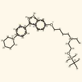 CCN(CCCCOc1ccc2c(-c3ccc(N4CCCCC4)cc3)nsc2c1)CCO[Si](C)(C)C(C)(C)C